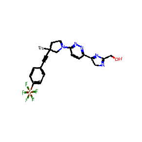 CCC1(C#Cc2ccc(S(F)(F)(F)(F)F)cc2)CCN(c2ccc(C3=NC(CO)=NC3)nn2)C1